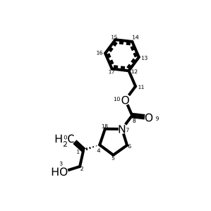 C=C(CO)[C@H]1CCN(C(=O)OCc2ccccc2)C1